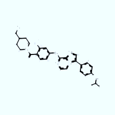 NCC1CCN(C(=O)c2ccc(Nc3nccn4c(-c5ccc(OC(F)F)cc5)cnc34)cc2Br)CC1